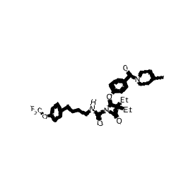 CCC1(CC)C(=O)N(C(=O)NCCCCc2ccc(OC(F)(F)F)cc2)C1Oc1ccc(C(=O)N2CCC(C)CC2)cc1